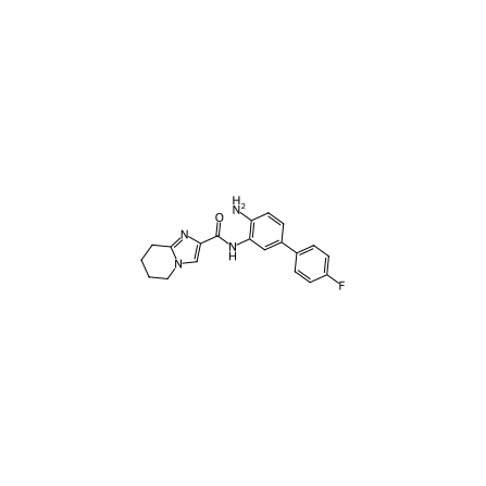 Nc1ccc(-c2ccc(F)cc2)cc1NC(=O)c1cn2c(n1)CCCC2